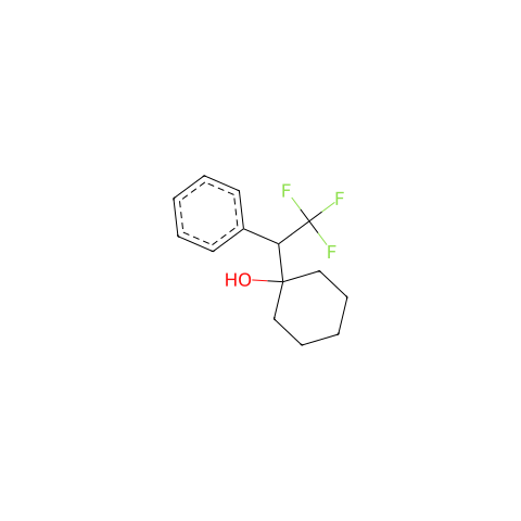 OC1(C(c2ccccc2)C(F)(F)F)CCCCC1